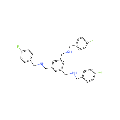 Fc1ccc(CNCc2cc(CNCc3ccc(F)cc3)cc(CNCc3ccc(F)cc3)c2)cc1